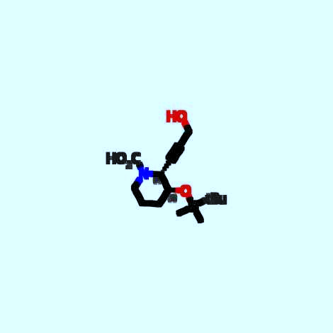 CC(C)(C)[Si](C)(C)O[C@H]1CCCN(C(=O)O)[C@@H]1C#CCO